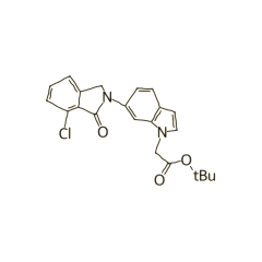 CC(C)(C)OC(=O)Cn1ccc2ccc(N3Cc4cccc(Cl)c4C3=O)cc21